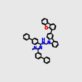 C=N/C(=N\C(NCn1c2ccccc2c2cc(-c3cccc4c3oc3ccccc34)ccc21)c1ccc(-c2ccccc2)cc1)c1cccc(-c2ccccc2)c1